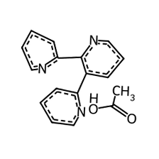 CC(=O)O.c1ccc(-c2cccnc2-c2ccccn2)nc1